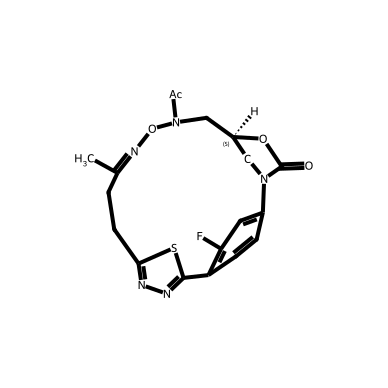 CC(=O)N1C[C@@H]2CN(C(=O)O2)c2ccc(c(F)c2)-c2nnc(s2)CCC(C)=NO1